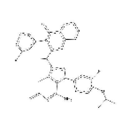 C=C/N=C(/N)c1c(-c2ccc(OC(C)C)c(F)c2)nn(C(C)c2cc3ccccc3c(=O)n2-c2cccc(F)c2)c1C